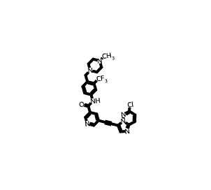 CN1CCN(Cc2ccc(NC(=O)c3cncc(C#Cc4cnc5ccc(Cl)nn45)c3)cc2C(F)(F)F)CC1